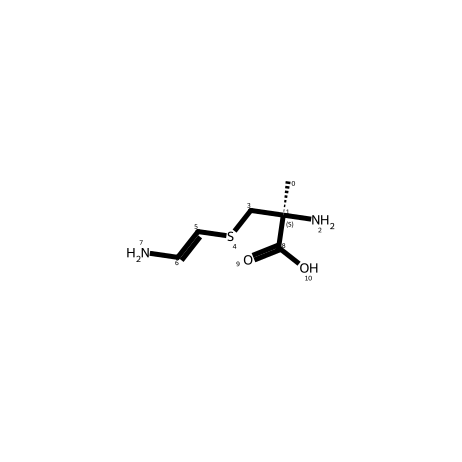 C[C@@](N)(CSC=CN)C(=O)O